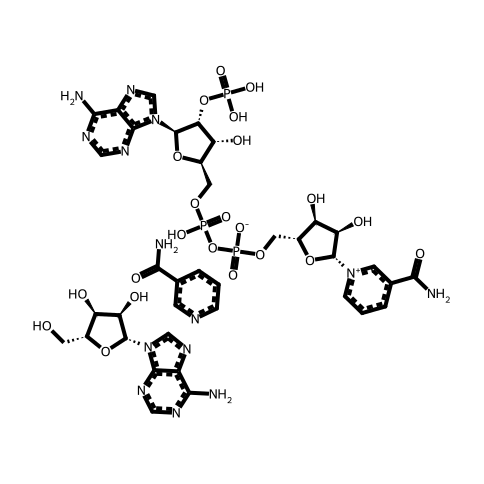 NC(=O)c1ccc[n+]([C@@H]2O[C@H](COP(=O)([O-])OP(=O)(O)OC[C@H]3O[C@@H](n4cnc5c(N)ncnc54)[C@H](OP(=O)(O)O)[C@@H]3O)[C@@H](O)[C@H]2O)c1.NC(=O)c1cccnc1.Nc1ncnc2c1ncn2[C@@H]1O[C@H](CO)[C@@H](O)[C@H]1O